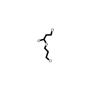 [O]C(CCCl)OCCCCl